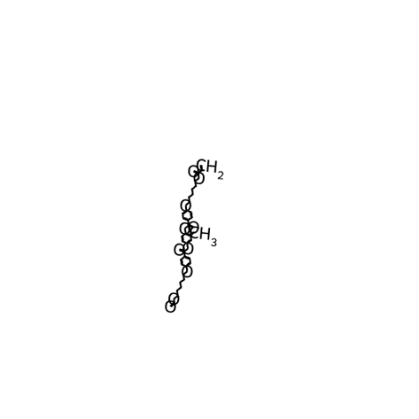 C=CC(=O)OCCCCCCOc1ccc(C(=O)Oc2ccc(OC(=O)c3ccc(OCCCCCCOC=O)cc3)cc2C)cc1